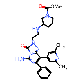 COC(=O)N1CCCC(NCCn2nc3c(-c4cc(C)nc(C)c4)c(-c4ccccc4)nc(N)n3c2=O)C1